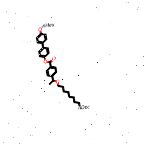 CCCCCCCCCCCCCCCCCCOC(C)c1ccc(C(=O)Oc2ccc(-c3ccc(OCCCCCC)cc3)cc2)cc1